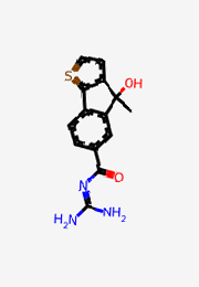 CC1(O)c2cc(C(=O)N=C(N)N)ccc2-c2sccc21